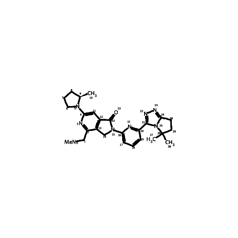 CNCc1nc(N2CCC[C@H]2C)cc2c1CN(c1cccc(-c3nnc4n3C(C)(C)CC4)n1)C2=O